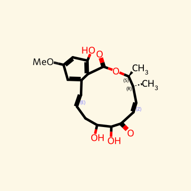 COc1cc(O)c2c(c1)/C=C/CC(O)C(O)C(=O)/C=C\[C@@H](C)[C@H](C)OC2=O